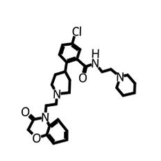 O=C(NCCN1CCCCC1)c1cc(Cl)ccc1C1CCN(CCN2C(=O)COc3ccccc32)CC1